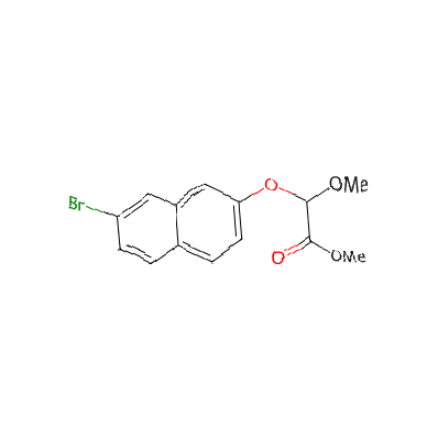 COC(=O)C(OC)Oc1ccc2ccc(Br)cc2c1